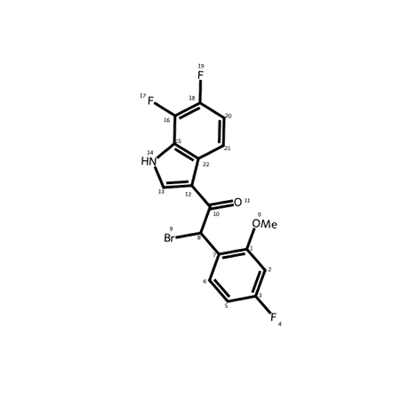 COc1cc(F)ccc1C(Br)C(=O)c1c[nH]c2c(F)c(F)ccc12